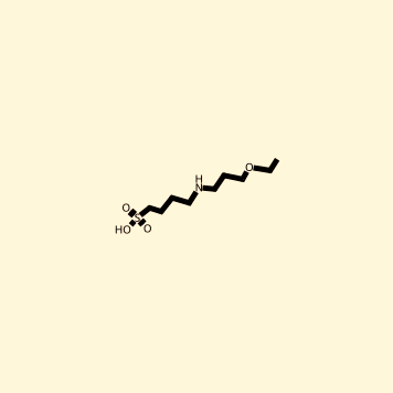 CCOCCCNCCCCS(=O)(=O)O